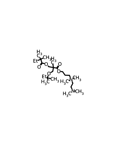 CCC(C)(C)OCC(C)(COC(=O)C(C)(C)CC)C(=O)OCCC[N+](C)(C)CCN(C)C